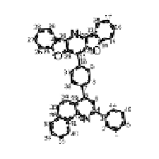 c1ccc(-c2cc(-c3ccc(-c4c5oc6ccccc6c5nc5c4oc4ccccc45)cc3)c3ccc4ccccc4c3n2)cc1